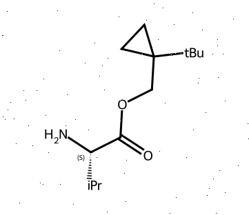 CC(C)[C@H](N)C(=O)OCC1(C(C)(C)C)CC1